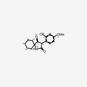 COc1ccc(C2C(=O)NC3(CCCCC3)C2=O)c(Cl)c1